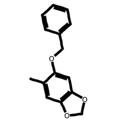 Cc1cc2c(cc1OCc1ccccc1)OCO2